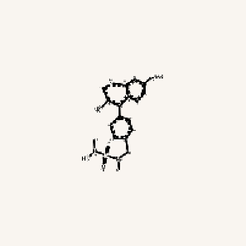 COc1ccc2c(-c3ccc(CN(C)S(=O)(=O)N(C)S)cc3)c(C#N)cnc2c1